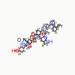 CC(C)Oc1nc2[nH]cc(F)c2cc1Oc1cc(N2CCC3(CC2)CC(N2CCC[C@H]2c2ccccc2C(C)C)C3)ccc1C(=O)NS(=O)(=O)c1cc2c(c([N+](=O)[O-])c1)N[C@@H]([C@H]1CC[C@](C)(O)CC1)CO2